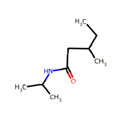 CCC(C)CC(=O)NC(C)C